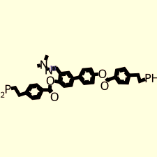 CN(C)/N=C/c1cc(-c2ccc(OC(=O)c3ccc(CCP)cc3)cc2)ccc1OC(=O)c1ccc(CCP)cc1